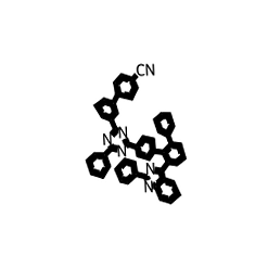 N#Cc1ccc(-c2cccc(-c3nc(-c4ccccc4)nc(-c4ccc(-c5c(-c6ccccc6)cccc5-c5nc(-c6ccccc6)nc6ccccc56)cc4)n3)c2)cc1